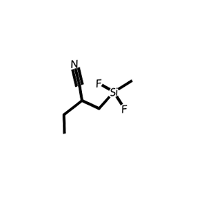 CCC(C#N)C[Si](C)(F)F